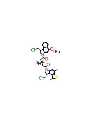 [2H]C([2H])(CC(=O)N1C[C@@H](CCl)c2c1cc(OC(C)(C)C)c1ccccc21)CC(=O)N1C[C@@H](CCl)c2c1cc(C)c1scc(C)c21